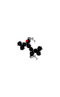 CC1=CCC(N(c2ccc(C3=CCC(N(C4=CC5C6=C(C=CCC6)N(C6C=CC=CC6)C5C=C4)c4ccc(C)cc4)C=C3)cc2)c2ccc3c(c2)C2C=CC=CC2N3c2ccccc2)CC1